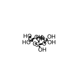 O[Si](O)(O)O[Si](O)(O)O[Si](O)(O)O